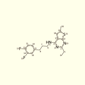 CCc1nc(NCCCc2ccc(F)c(F)c2)c2cc(C)sc2n1